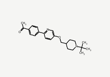 CC(=O)c1ccc(-c2ccc(OCC3CCN(C(C)(C)C)CC3)cn2)cc1